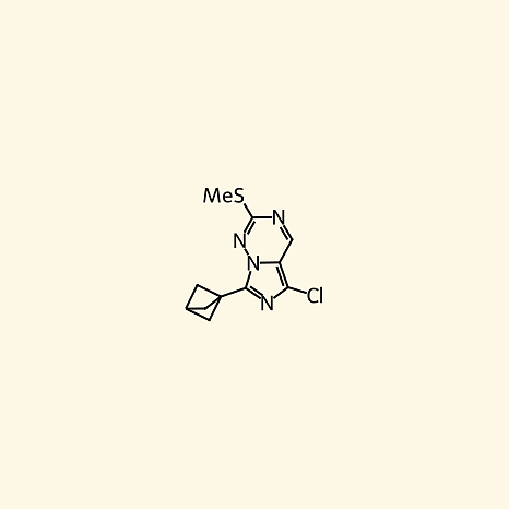 CSc1ncc2c(Cl)nc(C34CC(C3)C4)n2n1